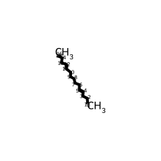 CCCCC=CCCCCCC=CCCCC